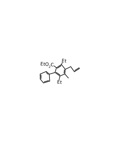 C=CCc1c(C)c(CC)c(-c2ccccc2)c(C(=O)OCC)c1CC